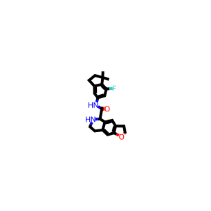 CC1(C)CCc2cc(NC(=O)C3NCCc4cc5c(cc43)CCO5)cc(F)c21